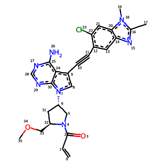 C=CC(=O)N1C[C@@H](n2cc(C#Cc3cc4nc(C)n(C)c4cc3Cl)c3c(N)ncnc32)C[C@@H]1COC